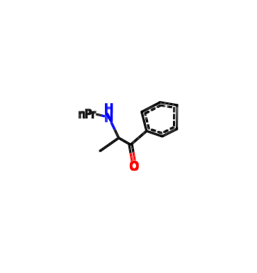 CCCNC(C)C(=O)c1ccccc1